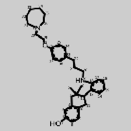 CC1(C)Cc2cc(O)ccc2CC1c1ccccc1NCCCc1ccc(OCCN2CCCCCC2)cc1